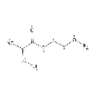 CCC=C(C#N)C(=O)OCCOCC